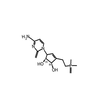 C=C1N=C(N)C=CN1C1C=C(CCP(=C)(C)C)[C@@H](O)[C@H]1O